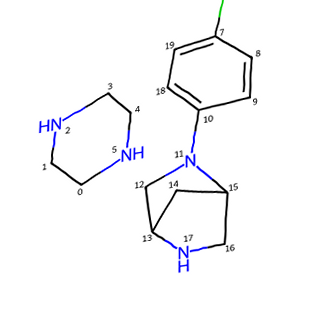 C1CNCCN1.Clc1ccc(N2CC3CC2CN3)cc1